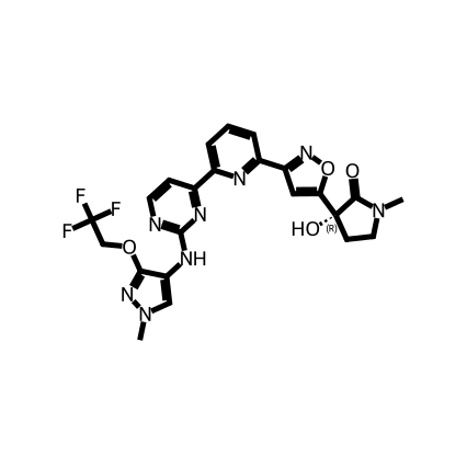 CN1CC[C@@](O)(c2cc(-c3cccc(-c4ccnc(Nc5cn(C)nc5OCC(F)(F)F)n4)n3)no2)C1=O